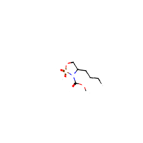 CC(C)CCCC1COS(=O)(=O)N1C(=O)OC(C)(C)C